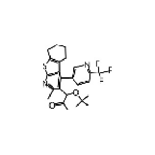 CC(=O)C(OC(C)(C)C)c1c(C)nc2sc3c(c2c1-c1ccc(C(F)(F)F)nc1)CCCC3